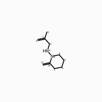 C=C(C)CNN1CCCCC1=C